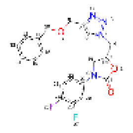 O=C1O[C@@H](Cn2cc(COCc3ccccc3)nn2)CN1c1ccc(I)c(F)c1